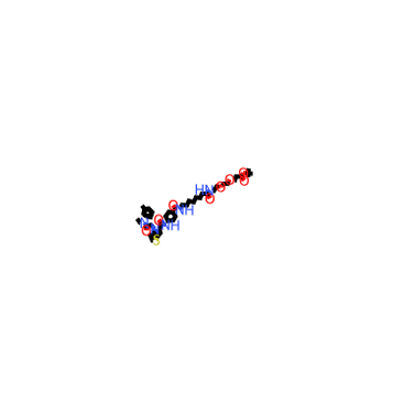 CCN(C(=O)Cn1c(C(=O)N[C@H]2CC[C@H](C(=O)NCCCCCCCC(=O)NCCOCCOCCC(=O)OC(C)(C)C)CC2)cc2sccc21)c1cccc(C)c1